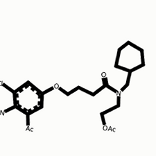 CC(=O)OCCN(CC1CCCCC1)C(=O)CCCOc1cc(Cl)c([N+](=O)[O-])c(C(C)=O)c1